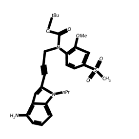 CCCn1c(C#CCN(C(=O)OC(C)(C)C)c2ccc(S(C)(=O)=O)cc2OC)cc2c(N)cccc21